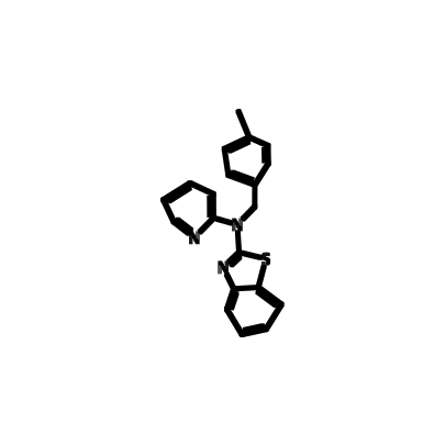 Cc1ccc(CN(c2ccccn2)c2nc3ccccc3s2)cc1